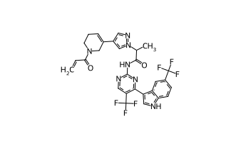 C=CC(=O)N1CCC=C(c2cnn(C(C)C(=O)Nc3ncc(C(F)(F)F)c(-c4c[nH]c5ccc(C(F)(F)F)cc45)n3)c2)C1